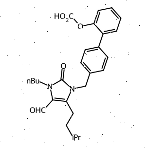 CCCCn1c(C=O)c(CCC(C)C)n(Cc2ccc(-c3ccccc3OC(=O)O)cc2)c1=O